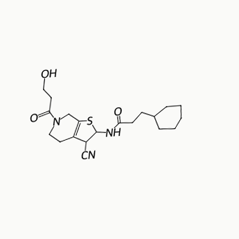 N#CC1C2=C(CN(C(=O)CCO)CC2)SC1NC(=O)CCC1CCCCC1